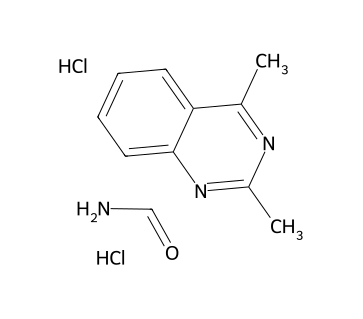 Cc1nc(C)c2ccccc2n1.Cl.Cl.NC=O